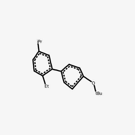 CCc1ccc(C(C)C)cc1-c1ccc(OC(C)(C)C)cc1